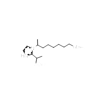 CCCCCCCCCCCCCCCCC(C)[n+]1cc[nH]c1C(C)CCCCCCCC